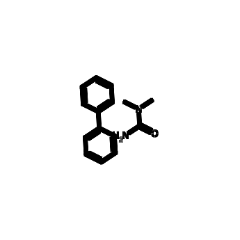 CN(C)C(N)=O.c1ccc(-c2ccccc2)cc1